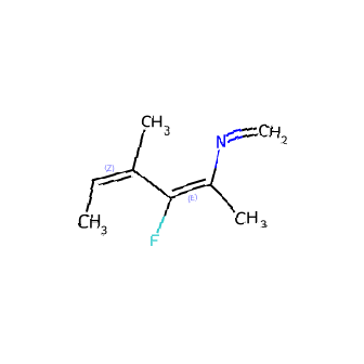 C=N/C(C)=C(F)\C(C)=C/C